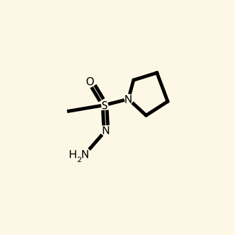 CS(=O)(=NN)N1CCCC1